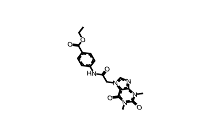 CCOC(=O)c1ccc(NC(=O)Cn2cnc3c2c(=O)n(C)c(=O)n3C)cc1